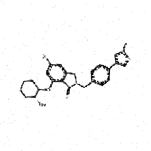 Cn1cc(-c2ccc(CN3Cc4cc(Br)cc(O[C@@H]5CCCC[C@H]5O)c4C3=O)cc2)cn1